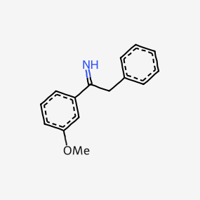 COc1cccc(C(=N)Cc2ccccc2)c1